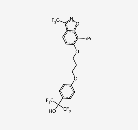 CCCc1c(OCCCOc2ccc(C(O)(C(F)(F)F)C(F)(F)F)cc2)ccc2c(C(F)(F)F)noc12